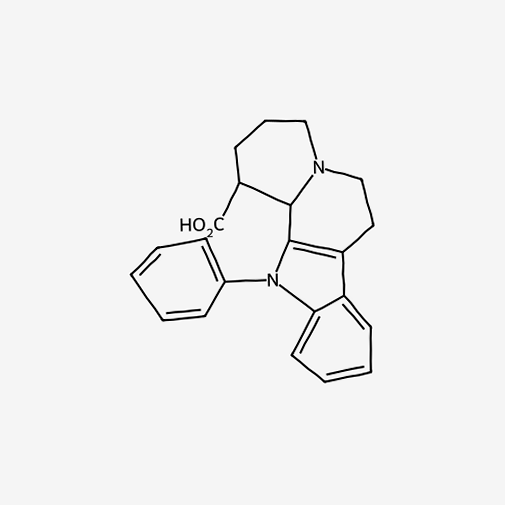 O=C(O)C1CCCN2CCc3c(n(-c4ccccc4)c4ccccc34)C12